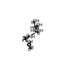 Cc1cc([N+](=O)[O-])ccc1NCc1c(I)nnn1CC(=O)NCCCC[C@H](NC(=O)N[C@@H](CCC(=O)O)C(=O)O)C(=O)O